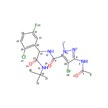 CC(=O)Nc1nn(C)c(C(=O)NC(C(=O)NC(C)(C)C)c2cc(F)ccc2Cl)c1Br